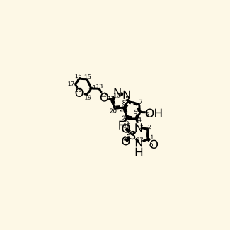 O=C1CN(c2c(O)cc3nnc(OCC4CCCOC4)cc3c2F)S(=O)(=O)N1